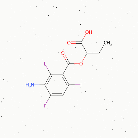 CCC(OC(=O)c1c(I)cc(I)c(N)c1I)C(=O)O